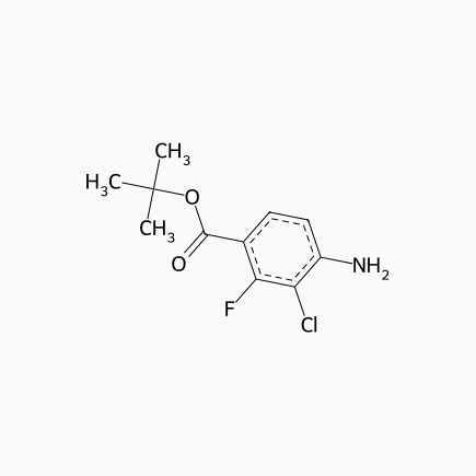 CC(C)(C)OC(=O)c1ccc(N)c(Cl)c1F